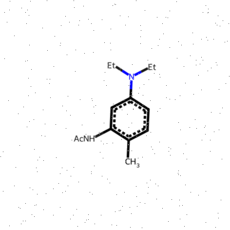 CCN(CC)c1ccc(C)c(NC(C)=O)c1